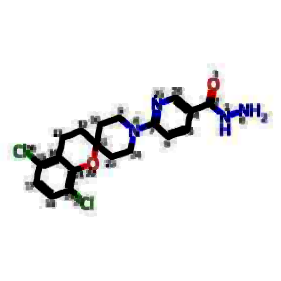 NNC(=O)c1ccc(N2CCC3(CCc4c(Cl)ccc(Cl)c4O3)CC2)nc1